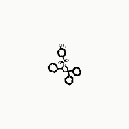 Cc1ccc(S(=O)(=O)N2CC(c3ccccc3)(c3ccccc3)CC2c2ccccc2)cc1